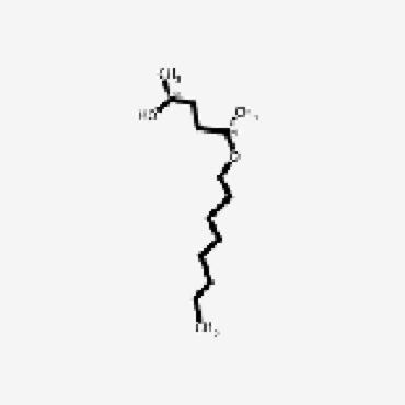 CCCCCCCCO[C@@H](C)CC[C@H](C)O